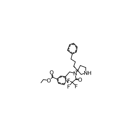 CCOC(=O)c1ccnc(CN(C(=O)C(F)(F)F)[C@]2(CCCc3ccccc3)CCNC2)c1